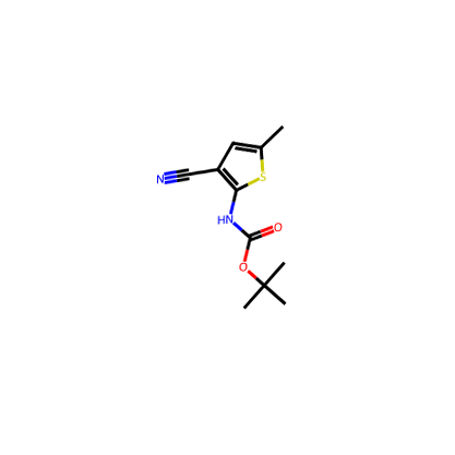 Cc1cc(C#N)c(NC(=O)OC(C)(C)C)s1